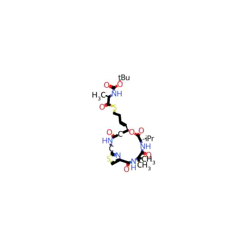 CC(C)[C@@H]1NC(=O)C(C)(C)NC(=O)c2csc(n2)CNC(=O)C[C@@H](/C=C/CCSC(=O)[C@@H](C)NC(=O)OC(C)(C)C)OC1=O